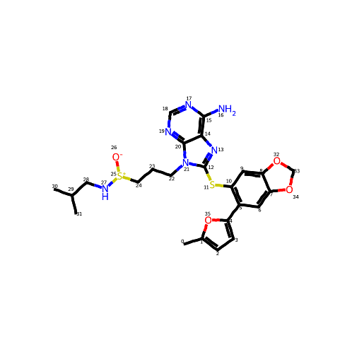 Cc1ccc(-c2cc3c(cc2Sc2nc4c(N)ncnc4n2CCC[S+]([O-])NCC(C)C)OCO3)o1